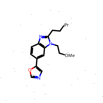 COCCn1c(CCC(C)C)nc2ccc(-c3cnco3)cc21